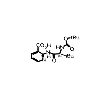 CCC(C)[C@H](NC(=O)OC(C)(C)C)C(=O)Nc1ncccc1C(=O)O